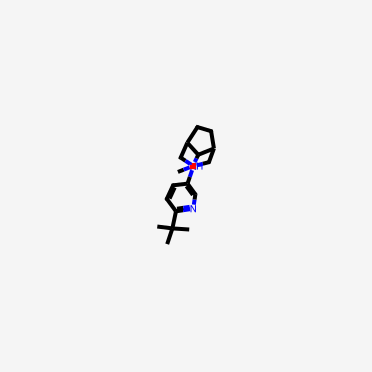 CNC1C2CCC1CN(c1ccc(C(C)(C)C)nc1)C2